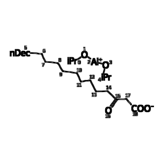 CC(C)[O][Al+][O]C(C)C.CCCCCCCCCCCCCCCCCCCC(=O)CC(=O)[O-]